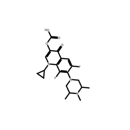 CC1CN(c2c(F)cc3c(=O)c(OC(=O)O)cn(C4CC4)c3c2F)CC(C)N1C